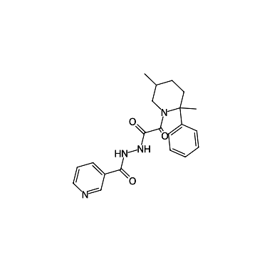 CC1CCC(C)(c2ccccc2)N(C(=O)C(=O)NNC(=O)c2cccnc2)C1